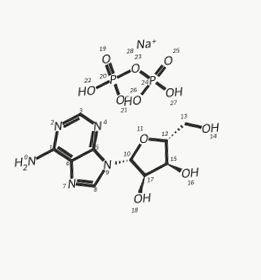 Nc1ncnc2c1ncn2[C@@H]1O[C@H](CO)[C@@H](O)[C@H]1O.O=P([O-])(O)OP(=O)(O)O.[Na+]